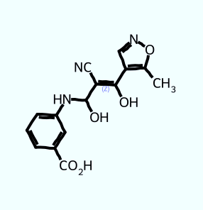 Cc1oncc1/C(O)=C(\C#N)C(O)Nc1cccc(C(=O)O)c1